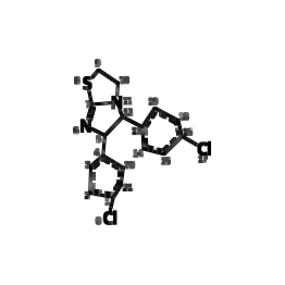 Clc1ccc(C2N=C3SCCN3C2c2ccc(Cl)cc2)cc1